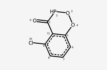 O=C1POOc2cccc(Cl)c21